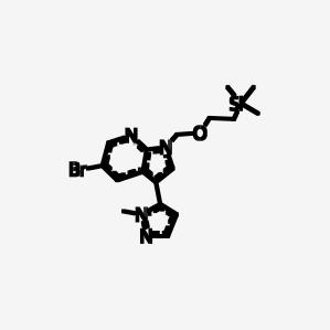 Cn1nccc1-c1cn(COCC[Si](C)(C)C)c2ncc(Br)cc12